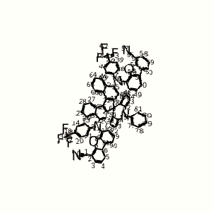 N#Cc1cccc2c1oc1c(N(c3ccc(C(F)(F)F)cc3)c3cc4c(c5ccccc35)-c3c(cc(N(c5ccc(C(F)(F)F)cc5)c5cccc6c5oc5c(C#N)cccc56)c5ccccc35)C43c4ccccc4N(c4ccccc4)c4ccccc43)cccc12